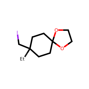 CCC1(CI)CCC2(CC1)OCCO2